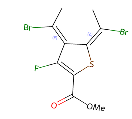 COC(=O)c1sc(=C(/C)Br)/c(=C(\C)Br)c1F